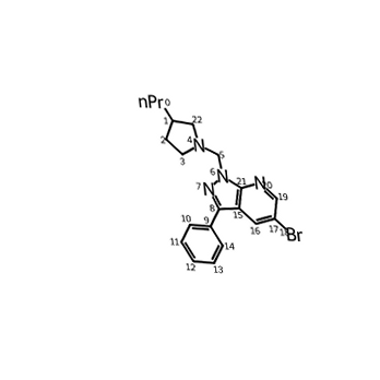 CCCC1CCN(Cn2nc(-c3ccccc3)c3cc(Br)cnc32)C1